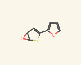 C1=C(c2ccco2)SC2OC12